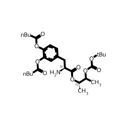 CCCCC(=O)Oc1ccc(C[C@H](N)C(=O)O[C@@H](C)C(C)OC(=O)OC(C)(C)C)cc1OC(=O)CCCC